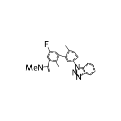 C=C(NC)c1cc(F)cc(-c2cc(-n3nnc4ccccc43)ccc2C)c1C